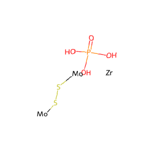 O=P(O)(O)O.[Mo][S][S][Mo].[Zr]